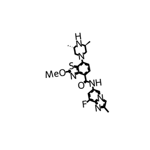 COc1nc2c(C(=O)Nc3cc(F)c4nc(C)cn4c3)ccc(N3C[C@H](C)N[C@@H](C)C3)c2s1